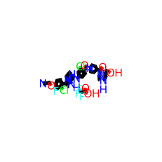 N#CCOc1ccc(-c2cnc3c(Nc4ccc(C(=O)N5CCC(C(=O)N6CCNCC6CO)CC5)c(Cl)c4)nccn23)c(Cl)c1F.O=C(O)C(F)(F)F